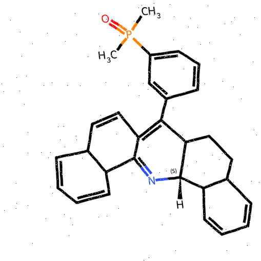 CP(C)(=O)c1cccc(C2=C3C=CC4C=CC=CC4C3=N[C@@H]3C2CCC2C=CC=CC23)c1